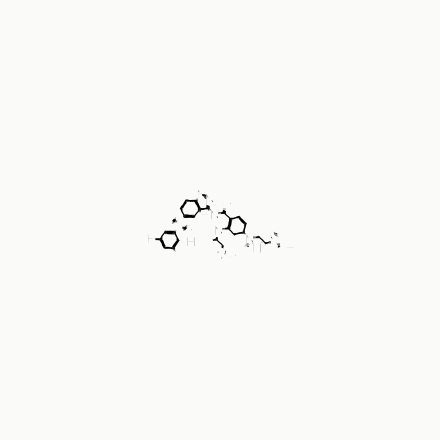 COCC(C)NC1=C(C(=O)Nc2n[nH]c3ccc(S(=O)(=O)c4cc(F)cc(F)c4)cc23)C=CC(N(C)CCN(C)C)C1